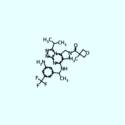 CC(C)c1nnc2nc(NC(C)c3cc(N)cc(C(F)(F)F)c3)c3c(n12)CN(C(=O)C1(C)COC1)C3